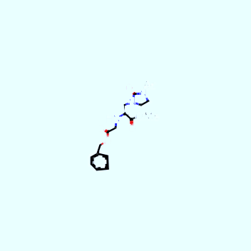 COC(=O)[C@H](CN1CCN(C(C)=O)C1=O)NCC(=O)OCc1ccccc1